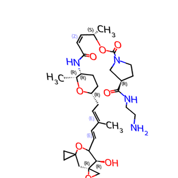 CC(/C=C/C1OC2(CC2)C[C@@]2(CO2)[C@@H]1O)=C\C[C@H]1CC[C@@H](NC(=O)/C=C\[C@H](C)OC(=O)N2CC[C@@H](C(=O)NCCN)C2)[C@@H](C)O1